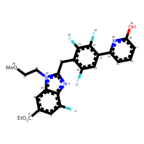 CCOC(=O)c1cc(F)c2nc(Cc3c(F)cc(-c4cccc(O)n4)c(F)c3F)n(CCOC)c2c1